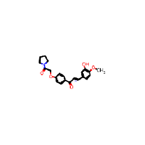 COc1ccc(/C=C/C(=O)c2ccc(OCC(=O)N3CCCC3)cc2)cc1O